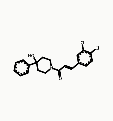 O=C(C=Cc1ccc(Cl)c(Cl)c1)N1CCC(O)(c2ccccc2)CC1